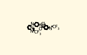 CN(CC(F)(F)F)c1ccc(C(=O)N[C@H]2CC[C@@H](N(C)c3cccc4nc(C(F)(F)F)cn34)CC2)c(Cl)c1